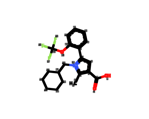 Cc1c(C(=O)O)cc(-c2ccccc2OC(F)(F)F)n1CC1CCCCC1